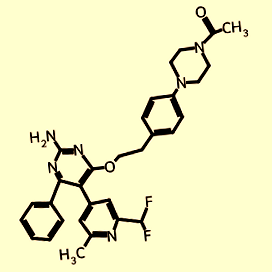 CC(=O)N1CCN(c2ccc(CCOc3nc(N)nc(-c4ccccc4)c3-c3cc(C)nc(C(F)F)c3)cc2)CC1